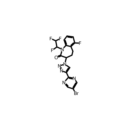 O=C1C(n2cc(-c3ncc(Br)cn3)nn2)CCc2c(F)cccc2N1C(F)C(F)F